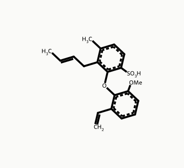 C=Cc1cccc(OC)c1Oc1c(S(=O)(=O)O)ccc(C)c1CC=CC